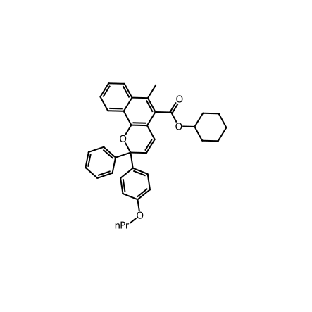 CCCOc1ccc(C2(c3ccccc3)C=Cc3c(C(=O)OC4CCCCC4)c(C)c4ccccc4c3O2)cc1